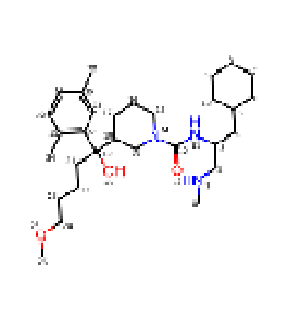 CNCC(CC1CCCCC1)NC(=O)N1CCCC(C(O)(CCCCOC)c2cc(C)ccc2C)C1